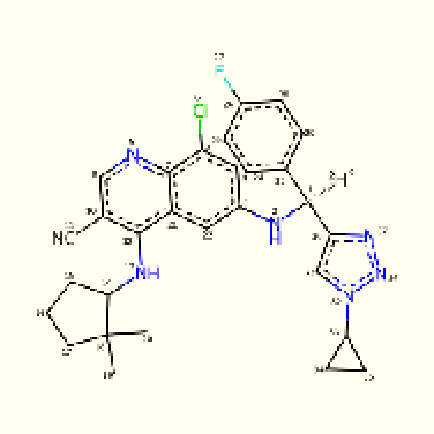 [2H][C@](Nc1cc(Cl)c2ncc(C#N)c(NC3CCCC3(C)C)c2c1)(c1ccc(F)cc1)c1cn(C2CC2)nn1